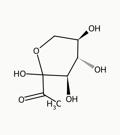 CC(=O)C1(O)OC[C@@H](O)[C@H](O)[C@H]1O